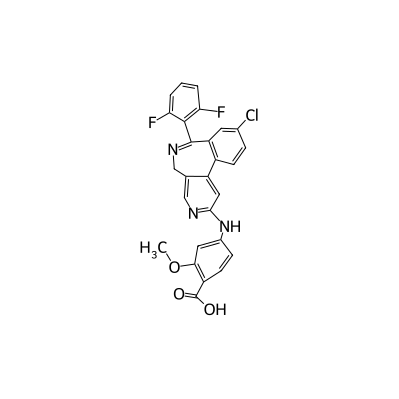 COc1cc(Nc2cc3c(cn2)CN=C(c2c(F)cccc2F)c2cc(Cl)ccc2-3)ccc1C(=O)O